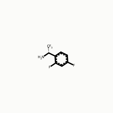 N[C@@H](c1ccc(F)cc1F)C(F)(F)F